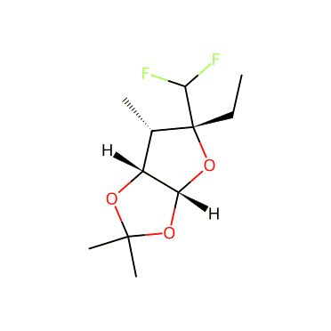 CC[C@@]1(C(F)F)O[C@@H]2OC(C)(C)O[C@@H]2[C@@H]1C